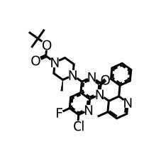 CC1=CC=NC(c2ccccc2)C1n1c(=O)nc(N2CCN(C(=O)OC(C)(C)C)C[C@@H]2C)c2cc(F)c(Cl)nc21